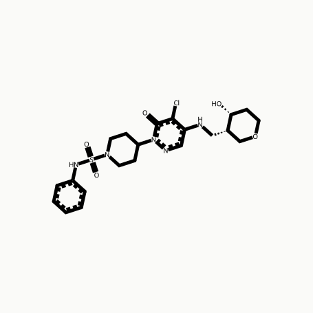 O=c1c(Cl)c(NC[C@H]2COCC[C@H]2O)cnn1C1CCN(S(=O)(=O)Nc2ccccc2)CC1